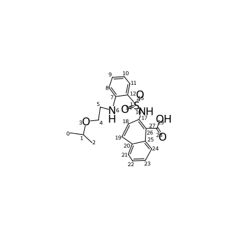 CC(C)OCCNc1ccccc1S(=O)(=O)Nc1ccc2ccccc2c1C(=O)O